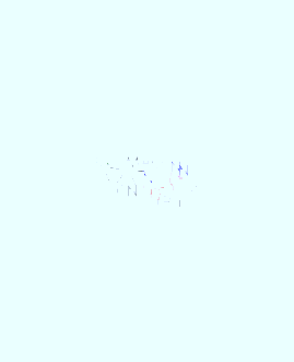 COc1cn(C(Cc2nnc(C3CC3)o2)C(=O)OC(C)(C)C)c(=O)cc1-c1cc(Cl)ccc1C#N